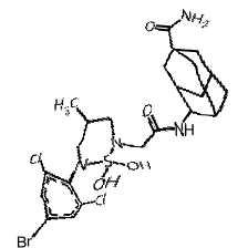 CC1CN(CC(=O)NC2C3CC4CC2CC(C(N)=O)(C4)C3)S(O)(O)N(c2c(Cl)cc(Br)cc2Cl)C1